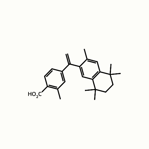 C=C(c1ccc(C(=O)O)c(C)c1)c1cc2c(cc1C)C(C)(C)CCC2(C)C